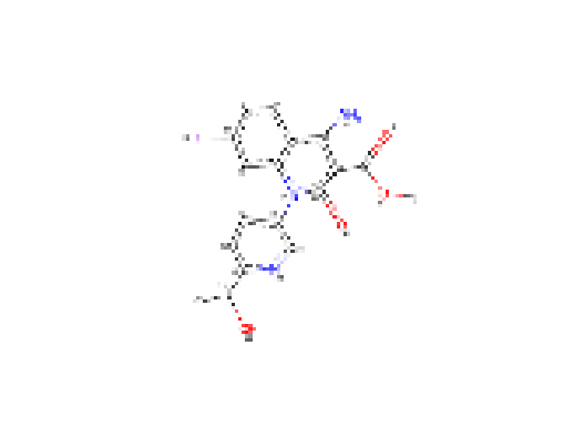 COC(=O)c1c(N)c2ccc(I)cc2n(-c2ccc(C(C)O)nc2)c1=O